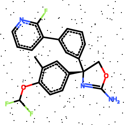 Cc1cc([C@@]2(c3cccc(-c4cccnc4F)c3)COC(N)=N2)ccc1OC(F)F